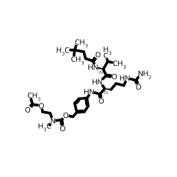 CC(=O)OCCN(C)C(=O)OCc1ccc(NC(=O)[C@H](CCCNC(N)=O)NC(=O)[C@@H](NC(=O)CCC(C)(C)C)C(C)C)cc1